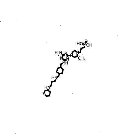 C[C@@H]1CN(c2nc(N)nc(NCC3CCC(CNCCCNC4CCCCC4)CC3)n2)CCN1CCCP(=O)(O)O